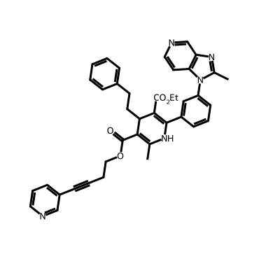 CCOC(=O)C1=C(c2cccc(-n3c(C)nc4cnccc43)c2)NC(C)=C(C(=O)OCCC#Cc2cccnc2)C1CCc1ccccc1